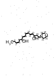 CC/C=C\C[C@H](O)/C=C/C=C\C=C\[C@@H](O)CCN1CCOCC1